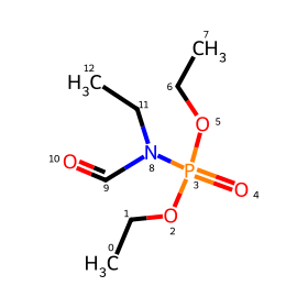 CCOP(=O)(OCC)N(C=O)CC